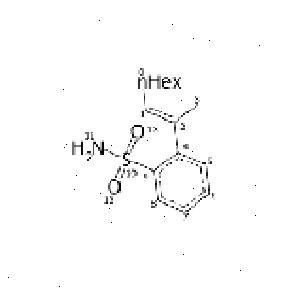 CCCCCCC=C(C)c1ccccc1S(N)(=O)=O